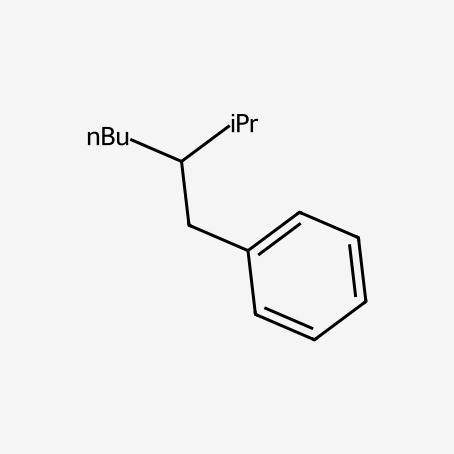 CCCCC(Cc1ccccc1)C(C)C